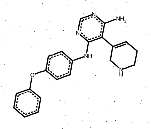 Nc1ncnc(Nc2ccc(Oc3ccccc3)cc2)c1C1=CCCNC1